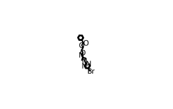 O=C(OCCON=C1CN(c2ncc(Br)cn2)C1)c1ccccc1